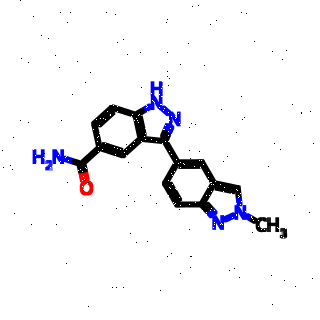 Cn1cc2cc(-c3n[nH]c4ccc(C(N)=O)cc34)ccc2n1